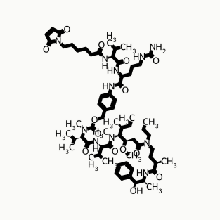 CCCN(CC[C@@H](C)C(=O)N[C@H](C)[C@@H](O)c1ccccc1)C(=O)C[C@@H](OC)[C@H]([C@@H](C)CC)N(C)C(=O)[C@@H](NC(=O)[C@H](C(C)C)N(C)C(=O)OCc1ccc(NC(=O)C(CCCNC(N)=O)NC(=O)[C@@H](NC(=O)CCCCCN2C(=O)C=CC2=O)C(C)C)cc1)C(C)C